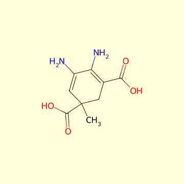 CC1(C(=O)O)C=C(N)C(N)=C(C(=O)O)C1